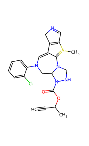 C#CC(C)OC(=O)N1NCN2C3=S(C)C4=C(CN=C4)C3=CN(c3ccccc3Cl)CC21